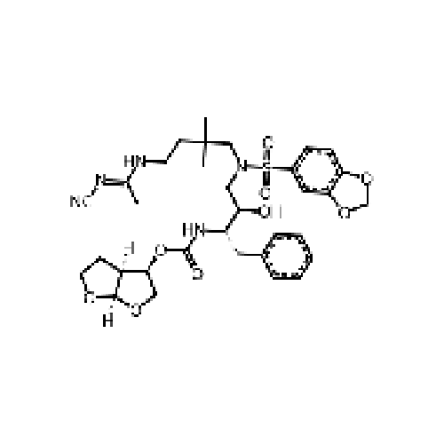 C/C(=N\C#N)NCCC(C)(C)CN(C[C@@H](O)[C@H](Cc1ccccc1)NC(=O)O[C@H]1CO[C@H]2OCC[C@H]21)S(=O)(=O)c1ccc2c(c1)OCO2